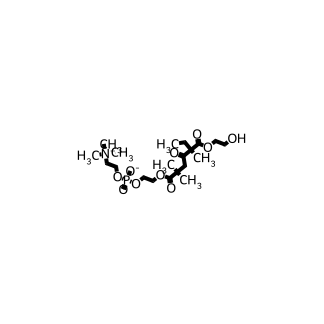 CCC(C)(C(=O)CC(C)(C)C(=O)OCCOP(=O)([O-])OCC[N+](C)(C)C)C(=O)OCCO